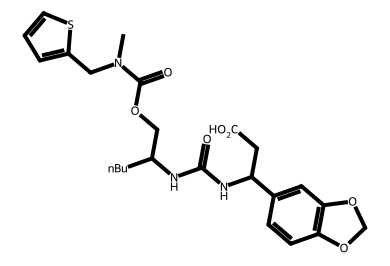 CCCCC(COC(=O)N(C)Cc1cccs1)NC(=O)NC(CC(=O)O)c1ccc2c(c1)OCO2